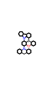 c1ccc2c(c1)Cc1ccccc1N2c1ccc2c3c1Oc1ccccc1B3c1cccc3c4ccccc4n-2c13